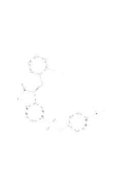 Cc1ccccc1C=C1C(=O)Nc2ccc(S(=O)(=O)Nc3ccc(C(F)(F)F)cc3)cc21